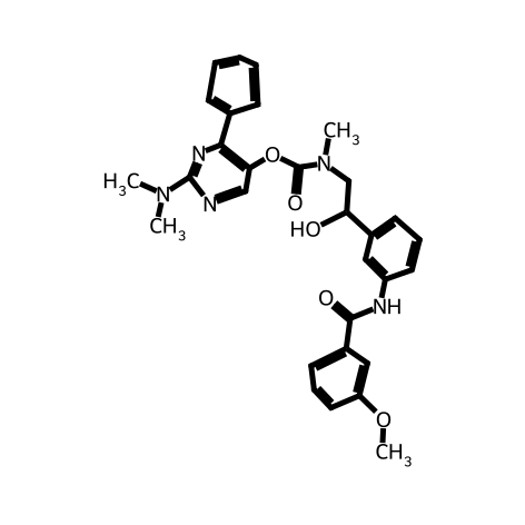 COc1cccc(C(=O)Nc2cccc(C(O)CN(C)C(=O)Oc3cnc(N(C)C)nc3-c3ccccc3)c2)c1